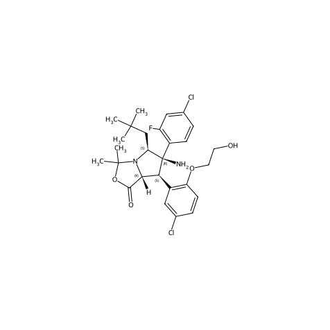 CC(C)(C)C[C@@H]1N2[C@@H](C(=O)OC2(C)C)[C@H](c2cc(Cl)ccc2OCCO)[C@@]1(N)c1ccc(Cl)cc1F